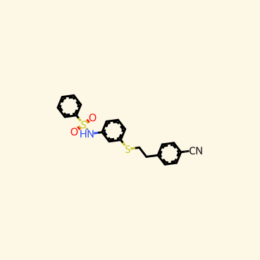 N#Cc1ccc(CCSc2cccc(NS(=O)(=O)c3ccccc3)c2)cc1